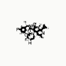 Cc1cc2c(N3CCN[C@@H](C)CC3)c(C(=O)N[C@@H](C)c3cc(F)cc(C#N)c3)c(=O)n(C)c2c(C2CC2)n1